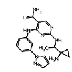 CC(Nc1ncc(C(N)=O)c(Nc2cccc(-n3cccn3)c2)n1)C1(N)CC1